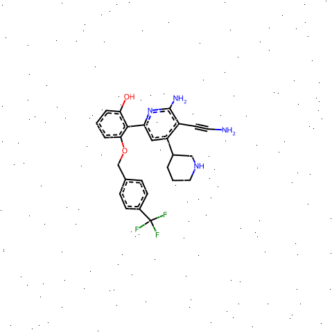 NC#Cc1c(C2CCCNC2)cc(-c2c(O)cccc2OCc2ccc(C(F)(F)F)cc2)nc1N